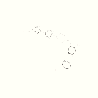 O=C(O)Cn1cc(-c2cnc(N3CCC(Oc4ccc(Oc5ccc(C(F)(F)F)cc5)cc4Br)CC3)nc2)nn1